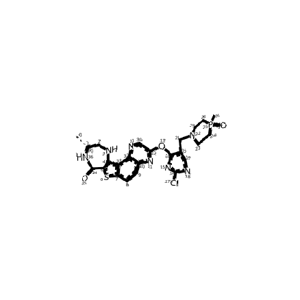 C[C@@H]1CNc2c(sc3ccc4nc(Oc5nc(Cl)ncc5CN5CCP(C)(=O)CC5)cnc4c23)C(=O)N1